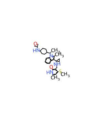 CSc1cc(C)[nH]c(=O)c1CNC1(c2c(C)n([C@H](C)C3CCC(NC4COC4)CC3)c3ccccc23)CC1